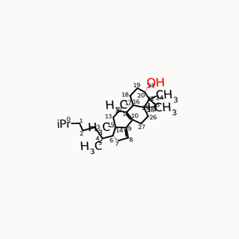 CC(C)CCC[C@@H](C)[C@H]1CC=C2C3=C(CC[C@@]21C)[C@@]1(C)CC[C@H](O)C(C)(C)[C@@H]1CC3